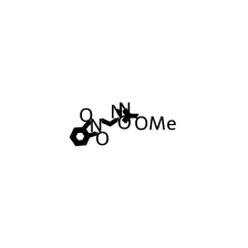 COCc1nnc(CCN2C(=O)c3ccccc3C2=O)o1